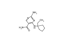 CCC1(Nc2nc(N)ncc2C(N)=O)CCCC1